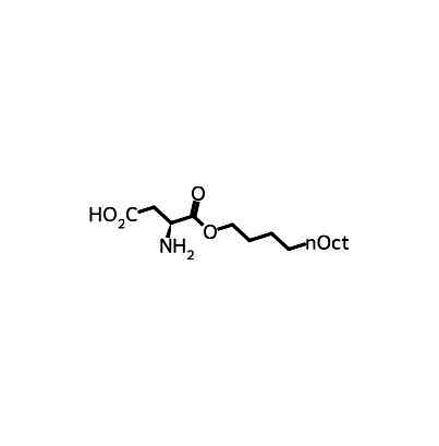 CCCCCCCCCCCCOC(=O)[C@@H](N)CC(=O)O